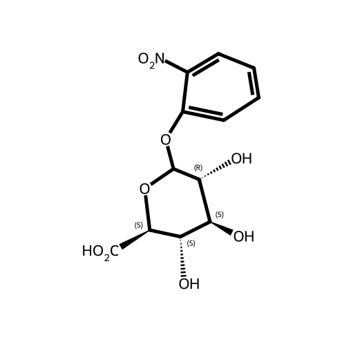 O=C(O)[C@H]1OC(Oc2ccccc2[N+](=O)[O-])[C@H](O)[C@@H](O)[C@@H]1O